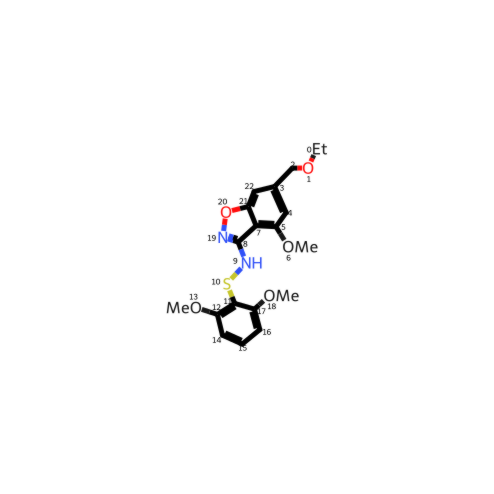 CCOCc1cc(OC)c2c(NSc3c(OC)cccc3OC)noc2c1